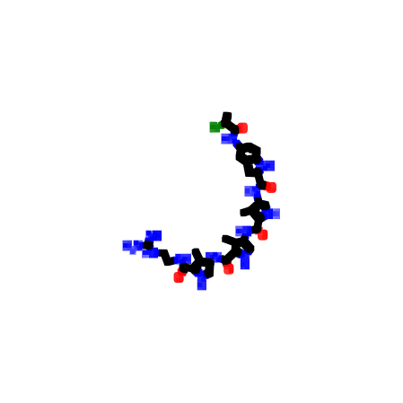 C=C(Br)C(=O)Nc1ccc2[nH]c(C(=O)Nc3c[nH]c(C(=O)Nc4c[nH]c(C(=O)Nc5c[nH]c(C(=O)NCCNC(=N)N)c5C)c4C)c3C)cc2c1